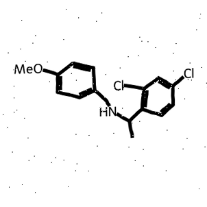 COc1ccc(CNC(C)c2ccc(Cl)cc2Cl)cc1